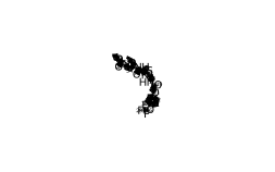 CCOC(=O)N1CCC(NC(=O)c2csc(CNC(=O)COc3ccc(OC(F)(F)F)cc3)n2)CC1